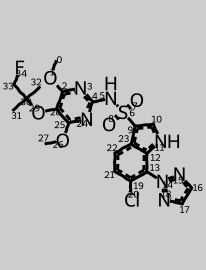 COc1nc(NS(=O)(=O)c2c[nH]c3c(-n4nccn4)c(Cl)ccc23)nc(OC)c1OC(C)(C)CF